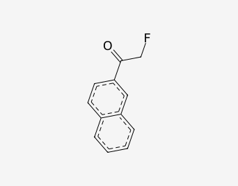 O=C(CF)c1ccc2ccccc2c1